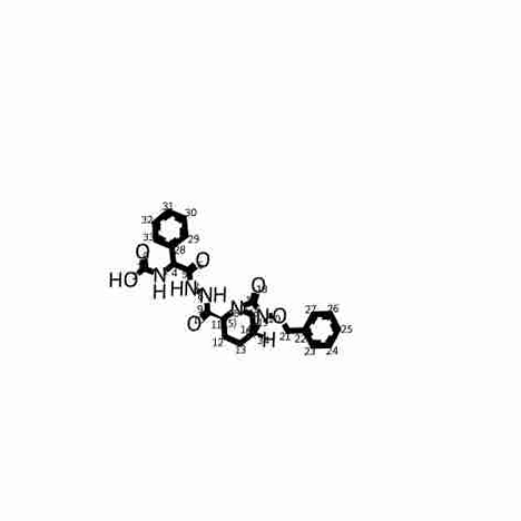 O=C(O)NC(C(=O)NNC(=O)[C@@H]1CC[C@@H]2CN1C(=O)N2OCc1ccccc1)c1ccccc1